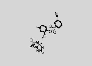 C=N[N+](CCOc1cc(C)ccc1OS(=O)(=O)c1cccc(C#N)c1)(O[N+](=O)[O-])C(=N)N